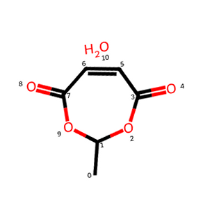 CC1OC(=O)C=CC(=O)O1.O